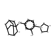 Fc1cc(OC23CC4CC(CC(C4)C2)C3)ccc1N1CCCC1